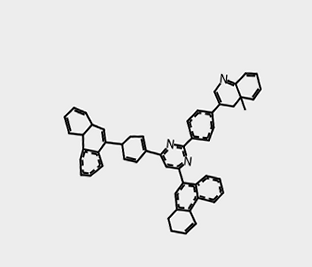 CC12C=CC=CC1=NC=C(c1ccc(-c3nc(C4=CCC(C5=CC6C=CC=CC6c6ccccc65)C=C4)cc(-c4cc5c(c6ccccc46)C=CCC5)n3)cc1)C2